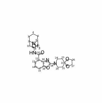 CN1C2CCCC1CC(NC(=O)c1cccc3oc(N4CCC5(CC4)OCCO5)nc13)C2